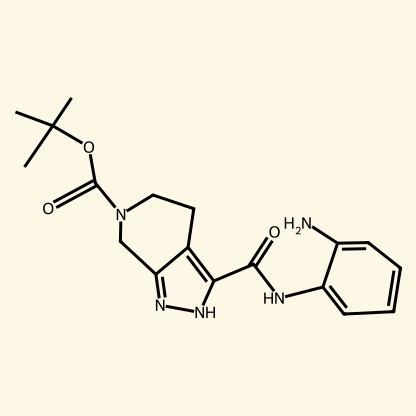 CC(C)(C)OC(=O)N1CCc2c(n[nH]c2C(=O)Nc2ccccc2N)C1